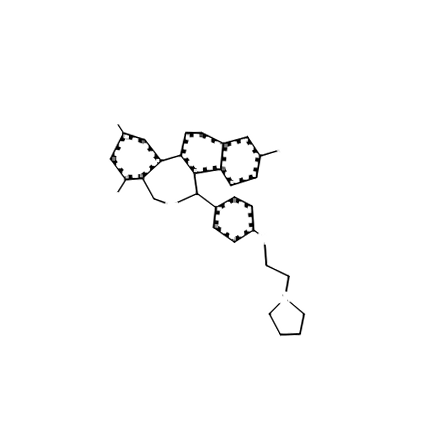 Oc1ccc2c3c(ccc2c1)-c1cc(F)cc(F)c1COC3c1ccc(OCCN2CCCC2)cc1